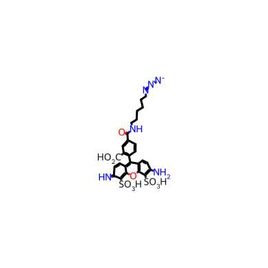 [N-]=[N+]=NCCCCCCNC(=O)c1ccc(-c2c3ccc(=N)c(S(=O)(=O)O)c-3oc3c(S(=O)(=O)O)c(N)ccc23)c(C(=O)O)c1